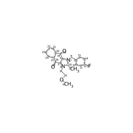 COCC[n+]1c2c(n(Cc3ccc(F)cc3)c1C)C(=O)c1ccccc1C2=O